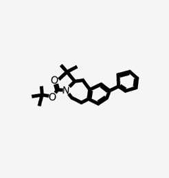 CC(C)(C)OC(=O)N1CCc2ccc(-c3ccccc3)cc2CC1C(C)(C)C